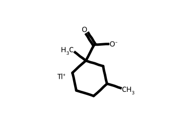 CC1CCCC(C)(C(=O)[O-])C1.[Tl+]